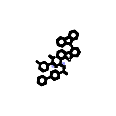 C=C(C)/C(=N\C(=N/C(=C)c1ccc(-c2ccccc2)cc1)c1cccc2c1oc1cccc(-n3c4ccccc4c4ccccc43)c12)C1=CC=CC(C)C1